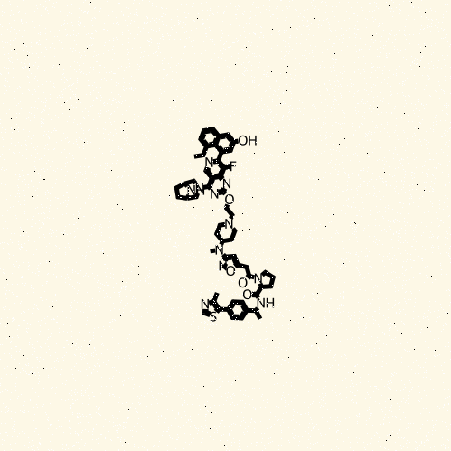 CCc1cccc2cc(O)cc(-c3ncc4c(N5CC6CCC(C5)N6)nc(OCCN5CCC(N(C)c6cc(CC(=O)N7CCCC7C(=O)NC(C)c7ccc(-c8scnc8C)cc7)on6)CC5)nc4c3F)c12